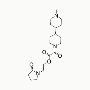 CN1CCC(C2CCN(C(=O)C(=O)OCCN3CCCC3=O)CC2)CC1